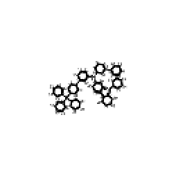 c1ccc(-c2cccc(N(c3cccc(-c4ccc(C(c5ccccc5)(c5ccccc5)c5ccccc5)cc4)c3)c3ccc4c5ccccc5n(-c5ccccc5)c4c3)c2)cc1